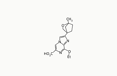 CCOc1nc(C(=O)O)cn2cc(C34CCC(C)(C3)OC4)nc12